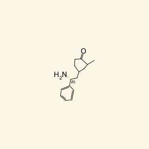 CC1CC(C[C@@H](N)c2ccccc2)CCC1=O